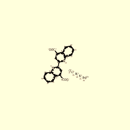 O=C([O-])c1cc(-c2cc(C(=O)[O-])c3ccccc3n2)nc2ccccc12.[Cl-].[Cl-].[K+].[K+].[Pd+2]